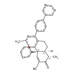 Cc1nc(-c2ccc(-c3cncnc3)cc2)c2c(n1)[C@@]1(c3ccccc3)C=C(C#N)C(=O)[C@@H](C)[C@@H]1CC2